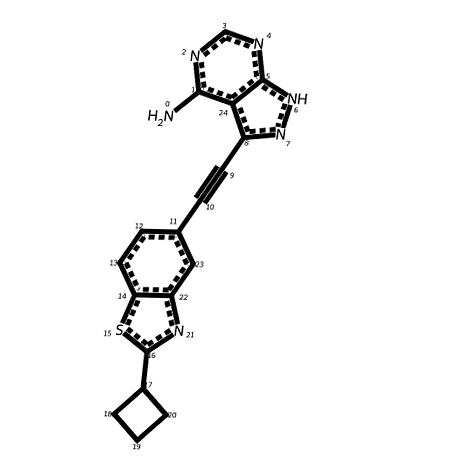 Nc1ncnc2[nH]nc(C#Cc3ccc4sc(C5CCC5)nc4c3)c12